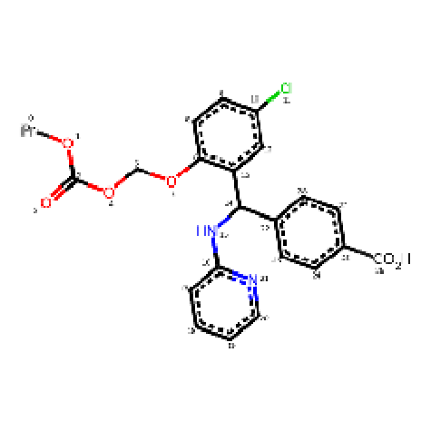 CC(C)OC(=O)OCOc1ccc(Cl)cc1C(Nc1ccccn1)c1ccc(C(=O)O)cc1